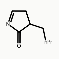 CCCCC1CC=NC1=O